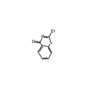 CCc1nc(=O)c2ccccc2s1